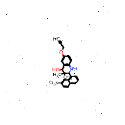 C#CCOc1ccc2c(c1)C(O)C(C)(C)C(c1cccc3ccc([N+](=O)[O-])cc13)N2